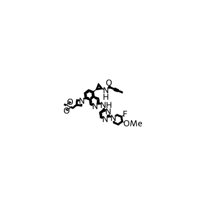 CC#CC(=O)N[C@@H]1C[C@@H]1c1ccc(N2CC(CS(C)(=O)=O)C2)c2cnc(Nc3ccnc(N4CC[C@@H](OC)[C@@H](F)C4)n3)cc12